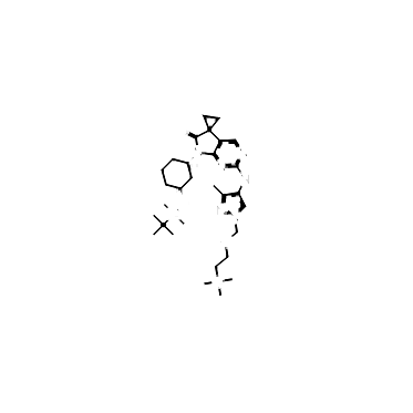 Cc1nn(COCC[Si](C)(C)C)cc1Nc1ncc2c(n1)N([C@@H]1CCC[C@@H](O[Si](C)(C)C(C)(C)C)C1)C(=O)C21CC1